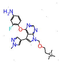 Cn1cc(-c2cn(COCC[Si](C)(C)C)c3ncnc(Oc4ccc(N)cc4F)c23)cn1